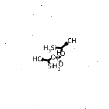 C#CC([SiH3])O[PH](=O)OC([SiH3])C#C